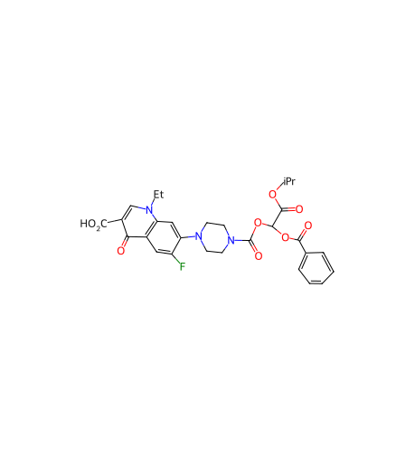 CCn1cc(C(=O)O)c(=O)c2cc(F)c(N3CCN(C(=O)OC(OC(=O)c4ccccc4)C(=O)OC(C)C)CC3)cc21